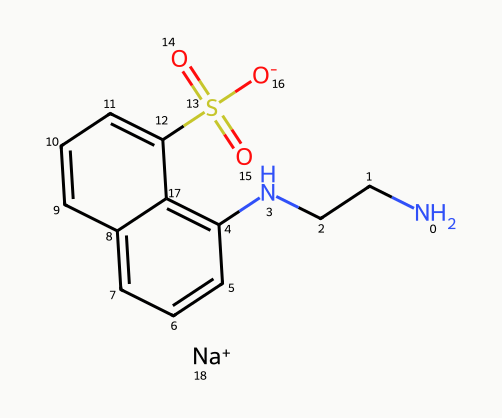 NCCNc1cccc2cccc(S(=O)(=O)[O-])c12.[Na+]